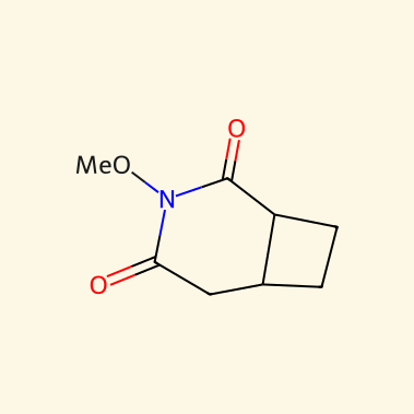 CON1C(=O)CC2CCC2C1=O